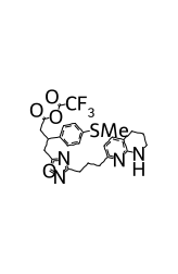 CSc1ccc(C(CC(=O)OC(=O)C(F)(F)F)Cc2nc(CCCc3ccc4c(n3)NCCC4)no2)cc1